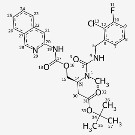 CN(C(=O)NCc1cccc(F)c1Cl)[C@H](COC(=O)Nc1cc2ccccc2cn1)CC(=O)OC(C)(C)C